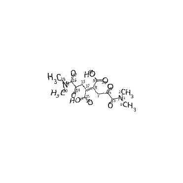 CN(C)C(=O)C(=O)CC(C(=O)O)=C(CC(=O)C(=O)N(C)C)C(=O)O